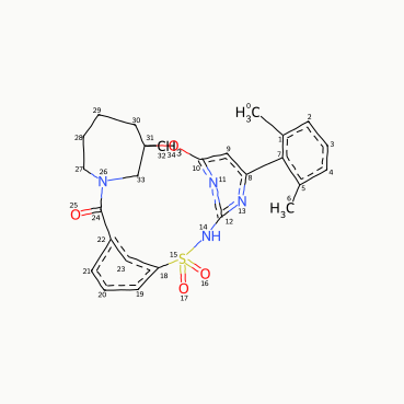 Cc1cccc(C)c1-c1cc2nc(n1)NS(=O)(=O)c1cccc(c1)C(=O)N1CCCCC(C)(C1)O2